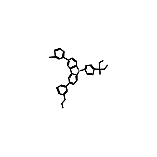 CCCc1cccc(-c2ccc3c(c2)c2cc(-c4cccc(C)c4)ccc2n3-c2ccc(C(C)(CC)CC)cc2)c1